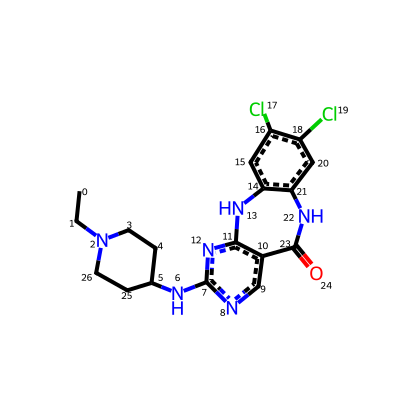 CCN1CCC(Nc2ncc3c(n2)Nc2cc(Cl)c(Cl)cc2NC3=O)CC1